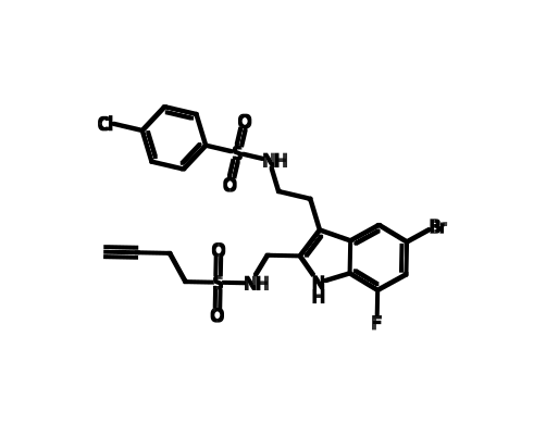 C#CCCS(=O)(=O)NCc1[nH]c2c(F)cc(Br)cc2c1CCNS(=O)(=O)c1ccc(Cl)cc1